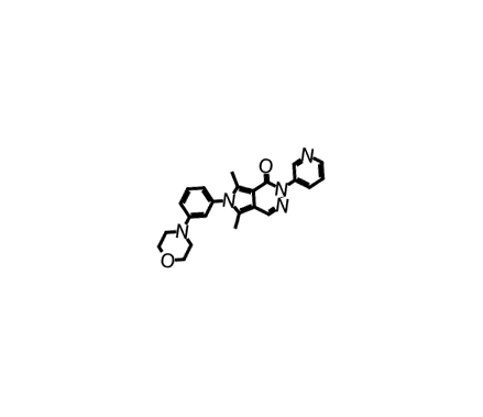 Cc1c2cnn(-c3cccnc3)c(=O)c2c(C)n1-c1cccc(N2CCOCC2)c1